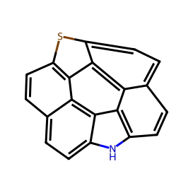 c1cc2[nH]c3ccc4ccc5sc6ccc1c1c2c3c4c5c61